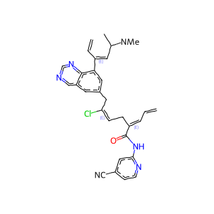 C=C/C=C(\C/C=C(/Cl)Cc1cc(/C(C=C)=C/C(C)NC)c2ncncc2c1)C(=O)Nc1cc(C#N)ccn1